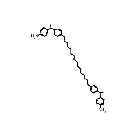 CC(c1ccc(N)cc1)c1ccc(CCCCCCCCCCCCCCCCc2ccc(C(C)c3ccc(N)cc3)cc2)cc1